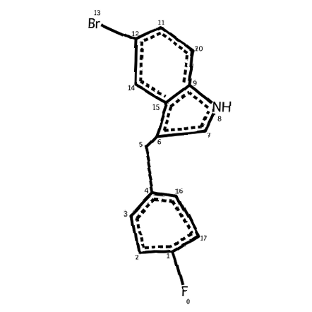 Fc1ccc(Cc2c[nH]c3ccc(Br)cc23)cc1